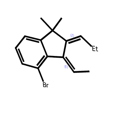 C/C=C1\C(=C/CC)C(C)(C)c2cccc(Br)c21